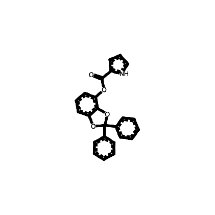 O=C(Oc1cccc2c1OC(c1ccccc1)(c1ccccc1)O2)c1ccc[nH]1